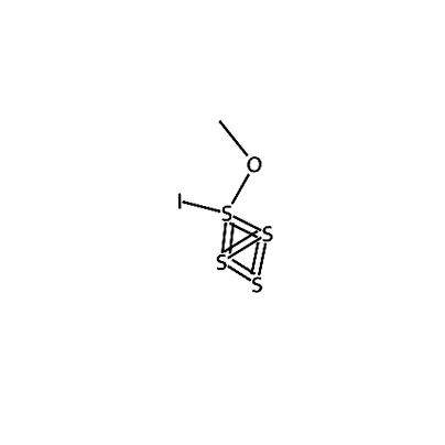 COS1(I)=S2=S=S=2=1